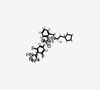 C[C@@H](CC1CCCC1)NCc1ccccc1NS(=O)(=O)c1cc(F)c(-c2nnn[nH]2)c(F)c1